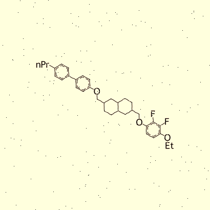 CCCc1ccc(-c2ccc(OCC3CCC4CC(COc5ccc(OCC)c(F)c5F)CCC4C3)cc2)cc1